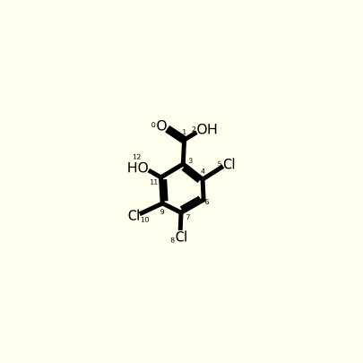 O=C(O)c1c(Cl)cc(Cl)c(Cl)c1O